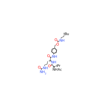 CC(=O)N[C@@H](C(=O)N[C@H](CCCNC(N)=O)C(=O)Nc1ccc(COC(=O)NCCC(C)(C)C)cc1)C(C)C